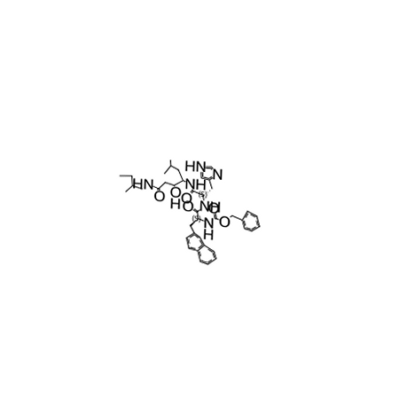 CCC(C)CNC(=O)CC(O)C(CC(C)C)NC(=O)[C@H](Cc1c[nH]cn1)NC(=O)[C@H](Cc1ccc2ccccc2c1)NC(=O)OCc1ccccc1